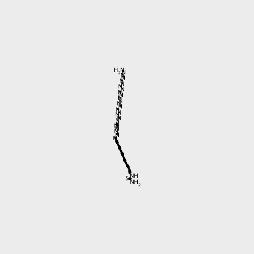 N/N=N/N=N/N=N/N=N/N=N/N=N/N=N/N=N/N=N/N=N/N=N/N=N/C#CC#CC#CC#CC#CC#CNC(N)=S